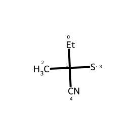 CCC(C)([S])C#N